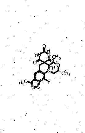 Cc1nsc2c(F)c3c(cc12)CC1(C(=O)NC(=O)NC1=O)[C@H]1[C@H](C)O[C@H](C)CN31